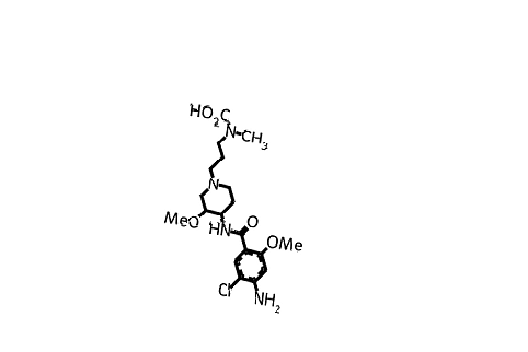 COc1cc(N)c(Cl)cc1C(=O)NC1CCN(CCCN(C)C(=O)O)CC1OC